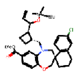 C=CC(O[Si](C)(C)C(C)(C)C)[C@@H]1CC[C@H]1CN1C[C@@]2(CCCc3cc(Cl)ccc32)COc2ccc(C(=O)OC)cc21